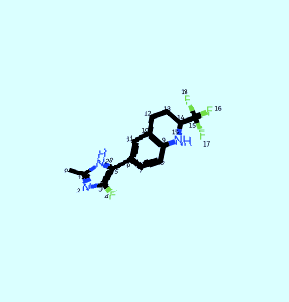 Cc1nc(F)c(-c2ccc3c(c2)CCC(C(F)(F)F)N3)[nH]1